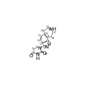 O=C1CCN(c2noc3c4c(ccc23)CCNCC4)C(=O)N1